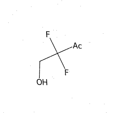 CC(=O)C(F)(F)CO